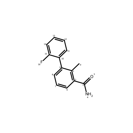 Cc1c(C(N)=O)cccc1-c1ccccc1F